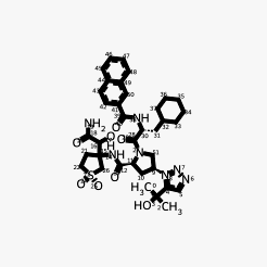 CC(C)(O)c1cnnn1[C@H]1C[C@@H](C(=O)NC2(C(O)C(N)=O)CCS(=O)(=O)C2)N(C(=O)[C@@H](CC2CCCCC2)NC(=O)c2ccc3ccccc3c2)C1